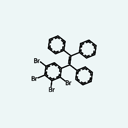 Brc1cc(C(=C(c2ccccc2)c2ccccc2)c2ccccc2)c(Br)c(Br)c1Br